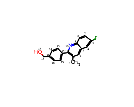 Cc1cc2cc(F)ccc2nc1-c1ccc(CO)cc1